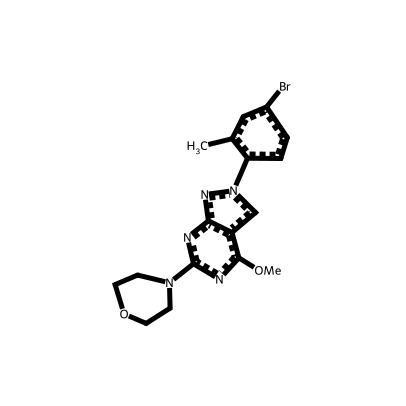 COc1nc(N2CCOCC2)nc2nn(-c3ccc(Br)cc3C)cc12